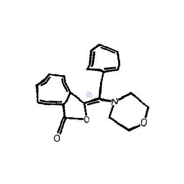 O=C1O/C(=C(/c2ccccc2)N2CCOCC2)c2ccccc21